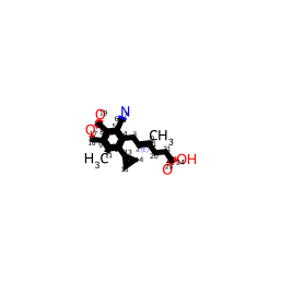 C/C(=C\Cc1c(C#N)c2c(c(C)c1C1CC1)COC2=O)CCC(=O)O